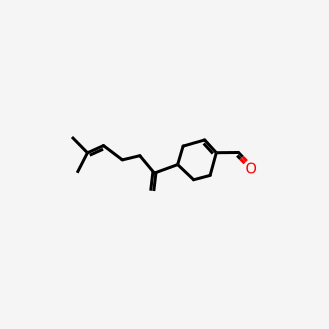 C=C(CCC=C(C)C)C1CC=C(C=O)CC1